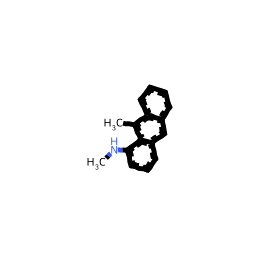 CNc1cccc2cc3ccccc3c(C)c12